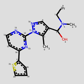 Cc1c(C(O)N(C)CC(C)C)cnn1-c1nccc(-c2cccs2)n1